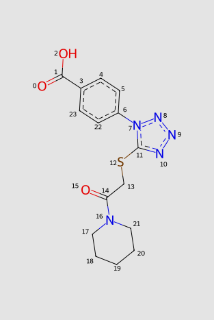 O=C(O)c1ccc(-n2nnnc2SCC(=O)N2CCCCC2)cc1